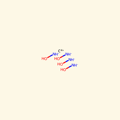 [C+4].[NH-]O.[NH-]O.[NH-]O.[NH-]O